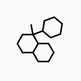 CC1(C2CCCCC2)CCCC2CCCCC21